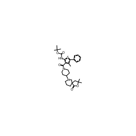 Cc1c(-c2ccccc2)sc(NC(=O)OC(C)(C)C)c1C(=O)N1CCC(N2CCCC3(C2)CC(C)(C)OC3=O)CC1